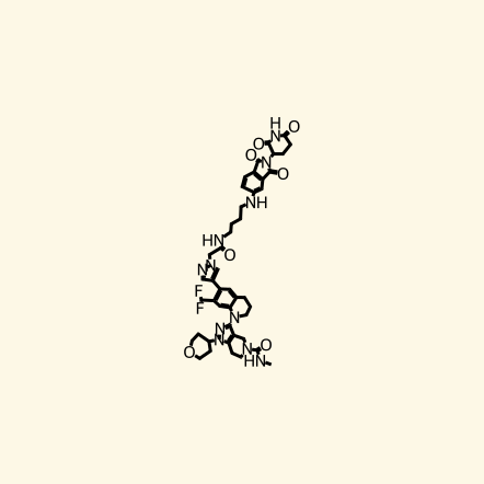 CNC(=O)N1CCc2c(c(N3CCCc4cc(-c5cnn(CC(=O)NCCCCNc6ccc7c(c6)C(=O)N(C6CCC(=O)NC6=O)C7=O)c5)c(C(F)F)cc43)nn2C2CCOCC2)C1